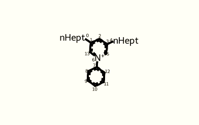 CCCCCCCc1cc(CCCCCCC)c[n+](-c2ccccc2)c1